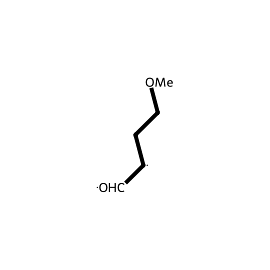 COCC[CH][C]=O